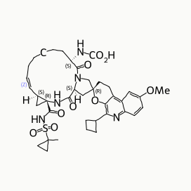 COc1ccc2nc(C3CCC3)c3c(c2c1)CC[C@]1(C[C@H]2C(=O)N[C@]4(C(=O)NS(=O)(=O)C5(C)CC5)C[C@H]4/C=C\CCCCC[C@H](NC(=O)O)C(=O)N2C1)O3